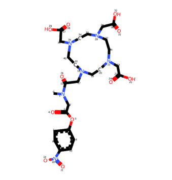 CN(CC(=O)Oc1ccc([N+](=O)[O-])cc1)C(=O)CN1CCN(CC(=O)O)CCN(CC(=O)O)CCN(CC(=O)O)CC1